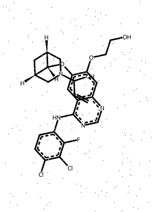 C=CC(O)N1C[C@H]2C[C@@H](C1)[C@H]2Oc1cc2c(Nc3ccc(Cl)c(Cl)c3F)ncnc2cc1OCCO